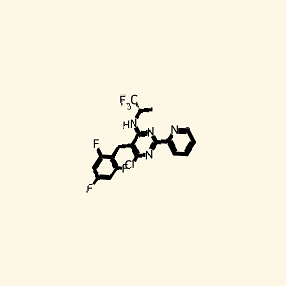 C[C@H](Nc1nc(-c2ccccn2)nc(Cl)c1Cc1c(F)cc(F)cc1F)C(F)(F)F